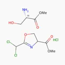 COC(=O)C1COC(C(Cl)Cl)=N1.COC(=O)[C@@H](N)CO.Cl